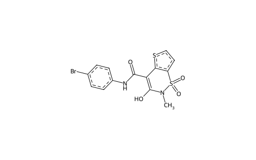 CN1C(O)=C(C(=O)Nc2ccc(Br)cc2)c2sccc2S1(=O)=O